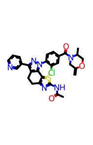 C=C1CN(C(=O)c2ccc(-n3nc(-c4cccnc4)c4c3-c3sc(NC(C)=O)nc3CC4)c(Cl)c2)C(C)CO1